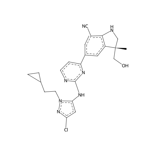 C[C@]1(CO)CNc2c(C#N)cc(-c3ccnc(Nc4cc(Cl)nn4CCC4CC4)n3)cc21